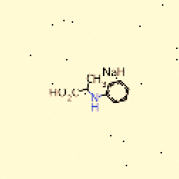 CC(Nc1ccccc1)C(=O)O.[NaH]